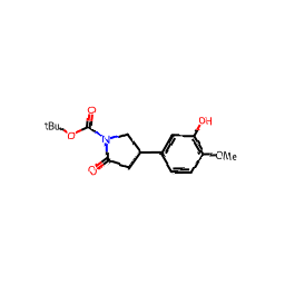 COc1ccc(C2CC(=O)N(C(=O)OC(C)(C)C)C2)cc1O